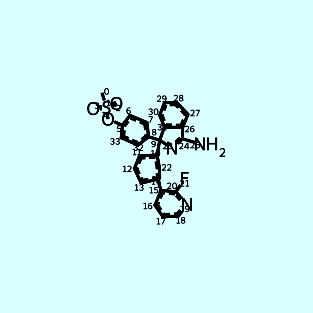 CS(=O)(=O)Oc1ccc(C2(c3cccc(-c4cccnc4F)c3)N=C(N)c3ccccc32)cc1